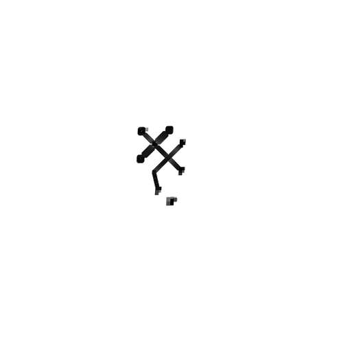 O=S(=O)([O-])C(F)(F)CF.[Li+]